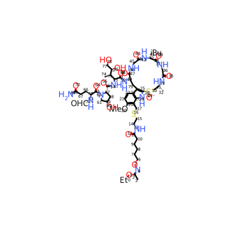 CCO/C(C)=N\OCCCCCC(=O)NCCSCc1c(OC)ccc2c3c([nH]c12)[S+]([O-])C[C@@H](C)NC(=O)CNC(=O)[C@H]([C@@H](C)CC)NC(=O)CNC(=O)[C@@H](NC(=O)[C@@H](NC(=O)[C@@H]1C[C@@H](O)CN1C(=O)[C@H](CCC(N)=O)NC=O)[C@@H](C)[C@@H](O)CO)C3